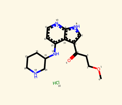 COCCC(=O)c1c[nH]c2nccc(NC3CCCNC3)c12.Cl